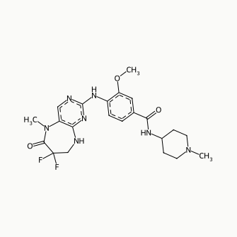 COc1cc(C(=O)NC2CCN(C)CC2)ccc1Nc1ncc2c(n1)NCC(F)(F)C(=O)N2C